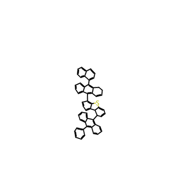 C1=CC(c2c3ccccc3c(-c3ccccc3)c3ccccc23)C2C(=C1)Sc1c(-c3c4c(c(-c5cccc6ccccc56)c5ccccc35)CCC=C4)cccc12